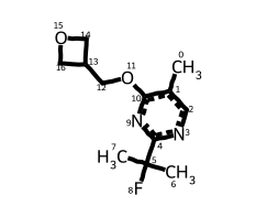 Cc1cnc(C(C)(C)F)nc1OCC1COC1